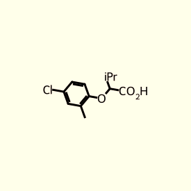 Cc1cc(Cl)ccc1OC(C(=O)O)C(C)C